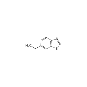 CCc1ccc2nnsc2c1